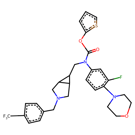 O=C(Oc1cccs1)N(CC1C2CN(Cc3ccc(C(F)(F)F)cc3)CC21)c1ccc(N2CCOCC2)c(F)c1